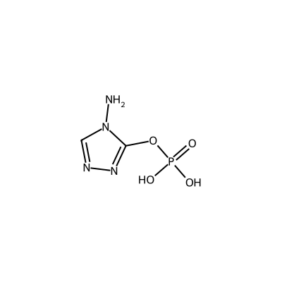 Nn1cnnc1OP(=O)(O)O